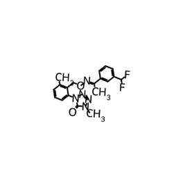 CC(=NOCc1c(C)cccc1-n1nnn(C)c1=O)c1cccc(C(F)F)c1